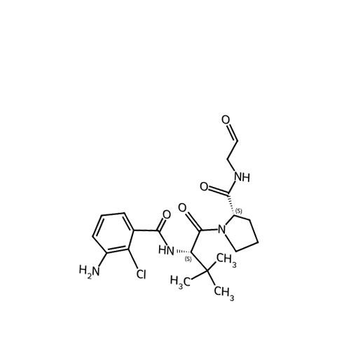 CC(C)(C)[C@H](NC(=O)c1cccc(N)c1Cl)C(=O)N1CCC[C@H]1C(=O)NCC=O